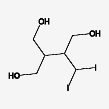 OCC(CO)C(CO)C(I)I